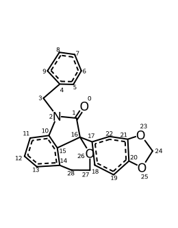 O=C1N(Cc2ccccc2)c2cccc3c2C1(c1ccc2c(c1)OCO2)OCC3